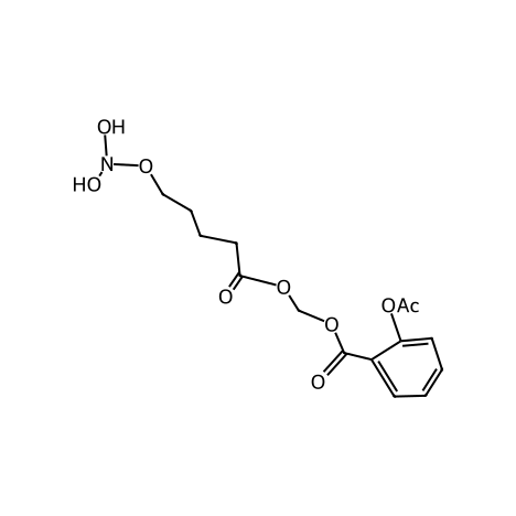 CC(=O)Oc1ccccc1C(=O)OCOC(=O)CCCCON(O)O